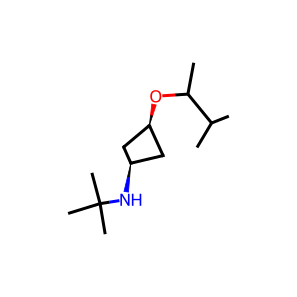 CC(C)C(C)O[C@H]1C[C@@H](NC(C)(C)C)C1